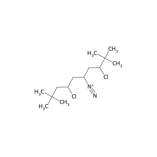 CC(C)(C)CC(Cl)CC(CC(Cl)C(C)(C)C)[N+]#N